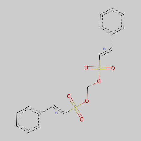 O=S(=O)(/C=C/c1ccccc1)OCOS(=O)(=O)/C=C/c1ccccc1